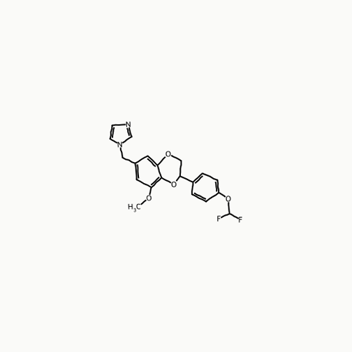 COc1cc(Cn2ccnc2)cc2c1OC(c1ccc(OC(F)F)cc1)CO2